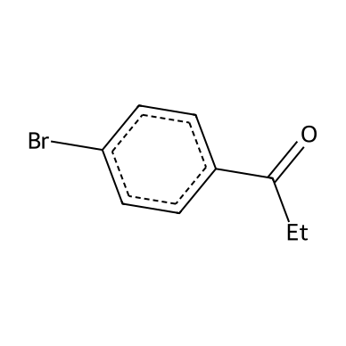 [CH2]CC(=O)c1ccc(Br)cc1